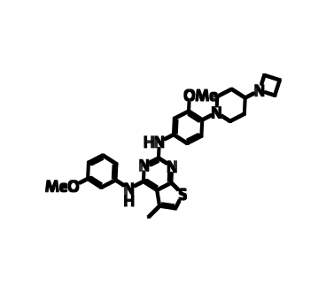 COc1cccc(Nc2nc(Nc3ccc(N4CCC(N5CCC5)CC4)c(OC)c3)nc3scc(C)c23)c1